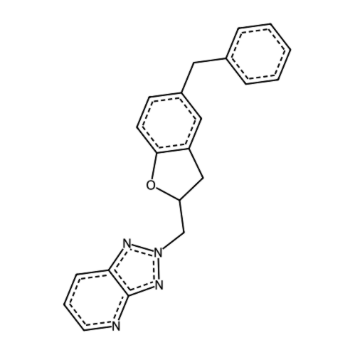 c1ccc(Cc2ccc3c(c2)CC(Cn2nc4cccnc4n2)O3)cc1